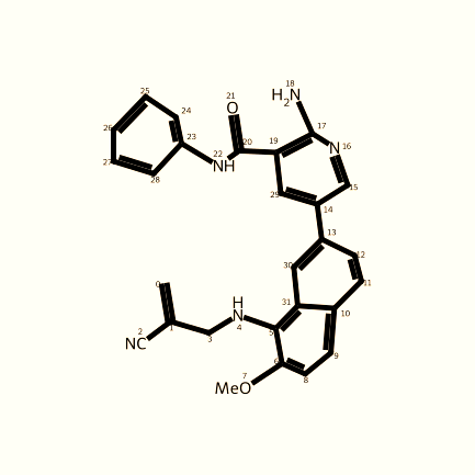 C=C(C#N)CNc1c(OC)ccc2ccc(-c3cnc(N)c(C(=O)Nc4ccccc4)c3)cc12